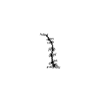 CCCCNC(=O)CCC(=O)NCCCCCNC(=O)CCC(=O)NCCCCCNC(=O)CCC(=O)NCCCCNC(C)=O